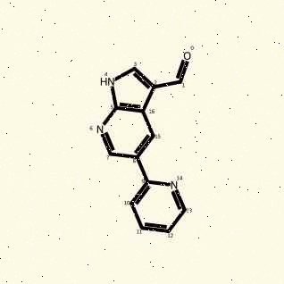 O=Cc1c[nH]c2ncc(-c3ccccn3)cc12